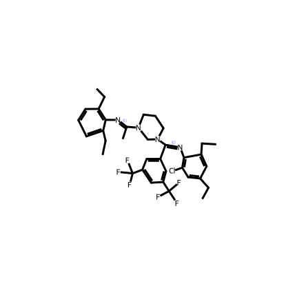 CCc1cc(Cl)c(/N=C(\c2cc(C(F)(F)F)cc(C(F)(F)F)c2)N2CCCN(/C(C)=N/c3c(CC)cccc3CC)C2)c(CC)c1